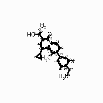 C=C(O)c1cc(C2CC2)c2c(C)c(-c3ccc(CN)c(F)c3)ccn2c1=O